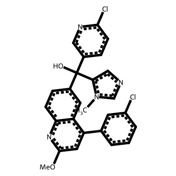 COc1cc(-c2cccc(Cl)c2)c2cc(C(O)(c3ccc(Cl)nc3)c3cncn3C)ccc2n1